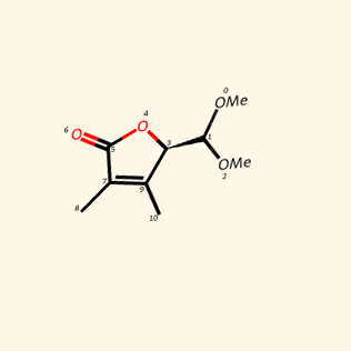 COC(OC)[C@@H]1OC(=O)C(C)=C1C